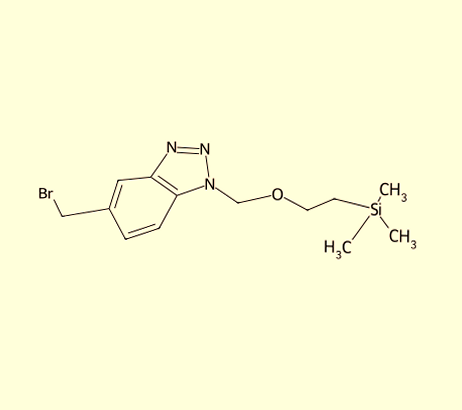 C[Si](C)(C)CCOCn1nnc2cc(CBr)ccc21